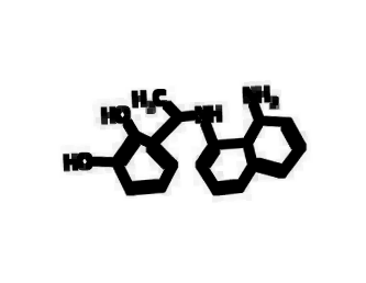 CC(NC1=CC=CC2=CC=CC(N)C21)c1cccc(O)c1O